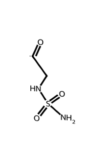 NS(=O)(=O)NC[C]=O